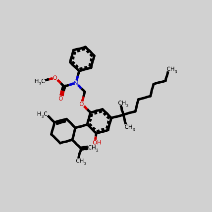 C=C(C)C1CCC(C)=CC1c1c(O)cc(C(C)(C)CCCCCC)cc1OCN(C(=O)OC)c1ccccc1